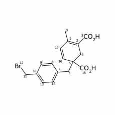 CC1=C(C(=O)O)CC(Cc2ccc(CBr)cc2)(C(=O)O)C=C1